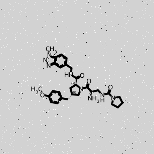 COc1ccc(C[C@@H]2C[C@@H](C(=O)NCc3ccc4c(c3)nnn4C)N(C(=O)[C@H](N)CNC(=O)N3CCCC3)C2)cc1